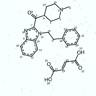 CN1CCC(C(=O)c2nc3ccccc3n2CCc2ccccc2)CC1.O=C(O)C=CC(=O)O